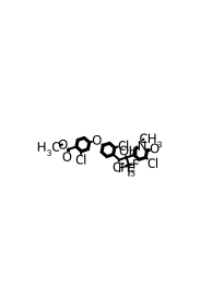 COC(=O)c1ccc(Oc2ccc(C(C)C(O)(c3cc(Cl)c(=O)n(C)c3)C(F)(F)F)c(Cl)c2)cc1Cl